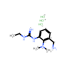 CCNC(=N)Nc1cccc(CN)c1N(C)C.Cl.Cl.Cl